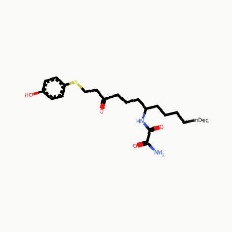 CCCCCCCCCCCCCCC(CCCC(=O)CCSc1ccc(O)cc1)NC(=O)C(N)=O